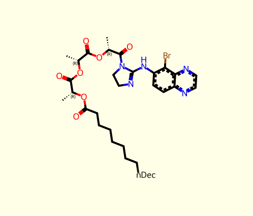 CCCCCCCCCCCCCCCCCC(=O)O[C@H](C)C(=O)O[C@H](C)C(=O)O[C@H](C)C(=O)N1CCN=C1Nc1ccc2nccnc2c1Br